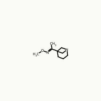 CON=C(C)C12CCCN(C1)C2